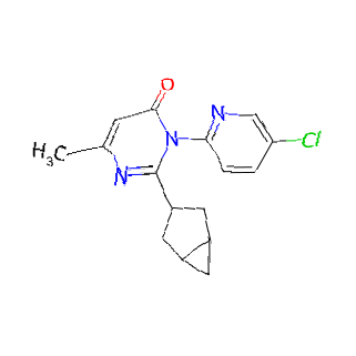 Cc1cc(=O)n(-c2ccc(Cl)cn2)c(C2CC3CC3C2)n1